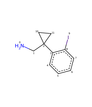 NCC1(c2ccccc2I)CC1